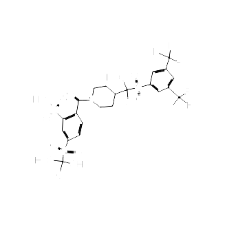 CC(C)(C)S(=O)(=O)c1ccc(C(=O)N2CCC(C(C)(C)S(=O)(=O)c3cc(C(F)(F)F)cc(C(F)(F)F)c3)CC2)c(S(C)(=O)=O)c1